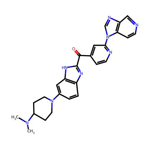 CN(C)C1CCN(c2ccc3nc(C(=O)c4ccnc(-n5cnc6cnccc65)c4)[nH]c3c2)CC1